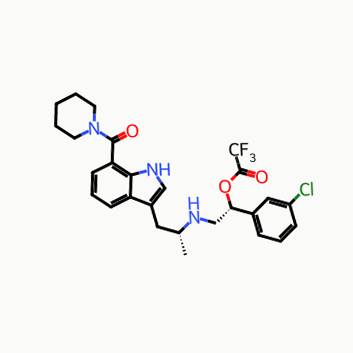 C[C@H](Cc1c[nH]c2c(C(=O)N3CCCCC3)cccc12)NC[C@H](OC(=O)C(F)(F)F)c1cccc(Cl)c1